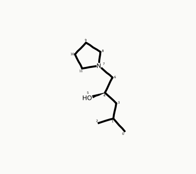 CC(C)C[C@@H](O)CN1CCCC1